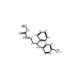 CC(C)(C)OC(=O)NCCC(Oc1ccc(C(F)(F)F)cc1)c1ccccc1